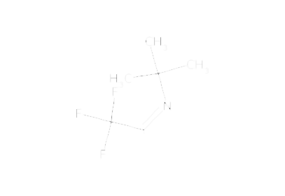 CC(C)(C)/N=[C]\C(F)(F)F